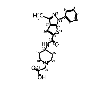 Cc1nn(-c2ccccc2)c2sc(C(=O)NC3CCN(CC(=O)O)CC3)cc12